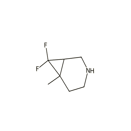 CC12CCNCC1C2(F)F